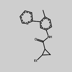 CCC1CC1C(=O)Nc1ccc(C)c(-c2ccccn2)c1